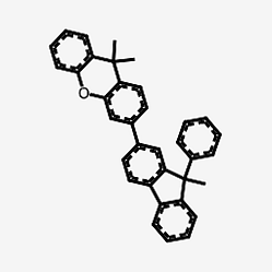 CC1(C)c2ccccc2Oc2cc(-c3ccc4c(c3)C(C)(c3ccccc3)c3ccccc3-4)ccc21